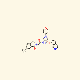 O=C(CN1CCc2ccc(C(F)(F)F)cc2C1=O)NC1CN(C2CCOCC2)C[C@@H]1OC1CCc2ccncc21